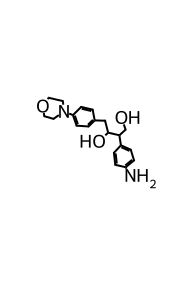 Nc1ccc(C(CO)C(O)Cc2ccc(N3CCOCC3)cc2)cc1